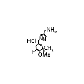 COC1=C(F)CC(Cn2cc(CN)cn2)=CC1(C)F.Cl